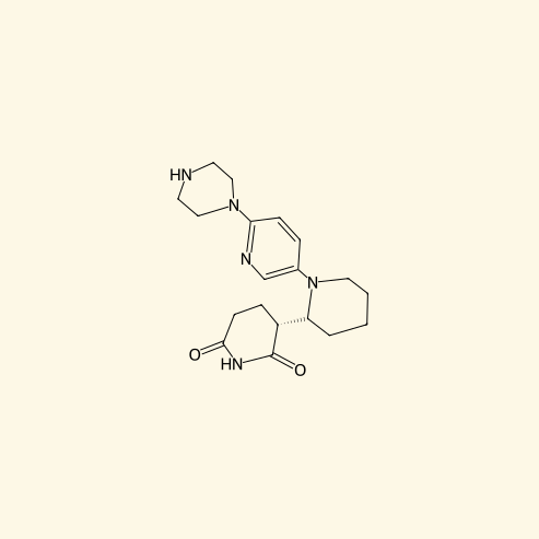 O=C1CC[C@H](C2CCCCN2c2ccc(N3CCNCC3)nc2)C(=O)N1